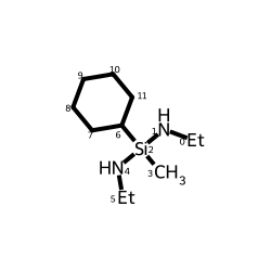 CCN[Si](C)(NCC)C1CCCCC1